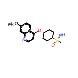 COc1ccc2c(O[C@H]3CC[C@H](S(C)(=N)=O)CC3)ccnc2c1